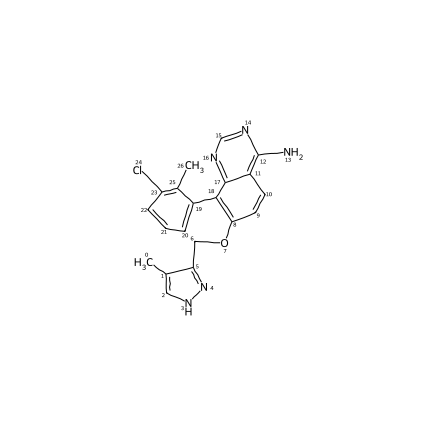 Cc1c[nH]nc1COc1ccc2c(N)ncnc2c1-c1cccc(Cl)c1C